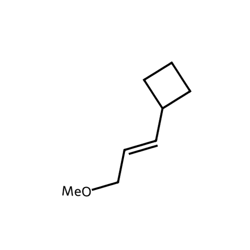 COC/C=C/C1CCC1